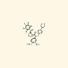 O=C(O)c1ccc(N(Cc2ccc(C3CCCCC3)cc2)C(=O)[C@H]2CCCN2C(=O)c2c(F)c(F)c(F)c(F)c2F)cc1O